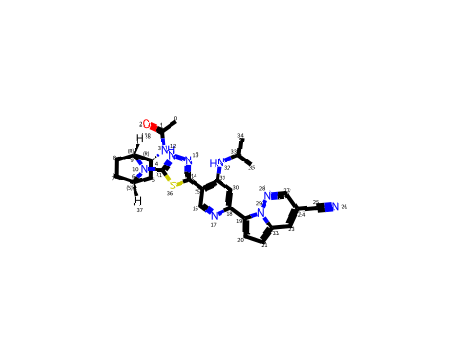 CC(=O)N[C@@H]1C[C@@H]2CC[C@H]1N2c1nnc(-c2cnc(-c3ccc4cc(C#N)cnn34)cc2NC(C)C)s1